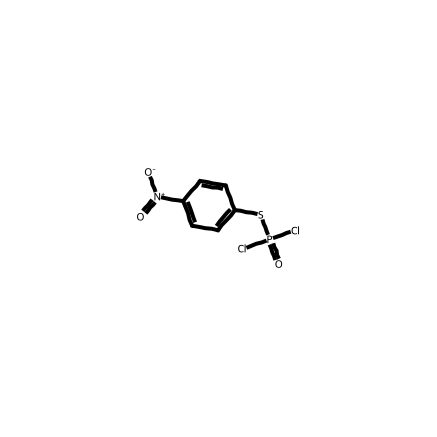 O=[N+]([O-])c1ccc(SP(=O)(Cl)Cl)cc1